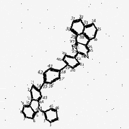 c1ccc(-n2c3ccccc3c3ccc(-c4ccc(-c5ccc(-c6ncc7c(n6)-c6cccc8cccc-7c68)cc5)cc4)cc32)cc1